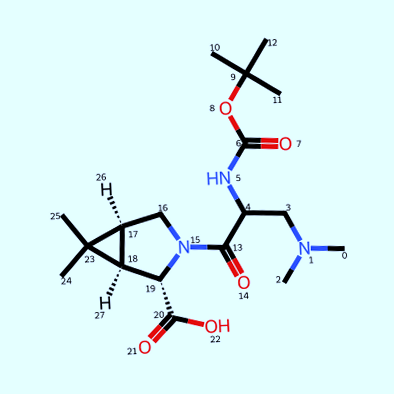 CN(C)CC(NC(=O)OC(C)(C)C)C(=O)N1C[C@H]2[C@@H]([C@H]1C(=O)O)C2(C)C